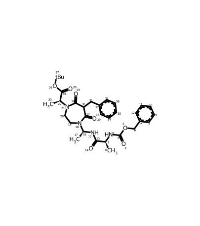 C[C@H](NC(=O)OCc1ccccc1)C(=O)N[C@@H](C)N1CCN([C@@H](C)C(=O)OC(C)(C)C)C(=O)C(Cc2ccccc2)C1=O